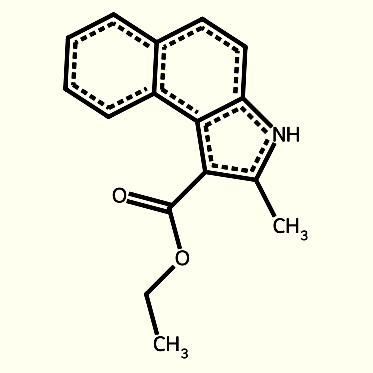 CCOC(=O)c1c(C)[nH]c2ccc3ccccc3c12